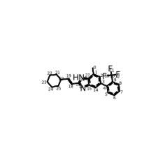 Cc1cc(-c2ccccc2C(F)(F)F)cc2nc(C=CC3CCCCC3)[nH]c12